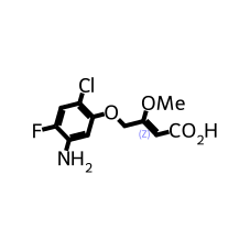 CO/C(=C\C(=O)O)COc1cc(N)c(F)cc1Cl